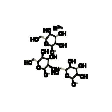 [Bi+3].[O-][C@H]1O[C@H](CO)[C@@H](O)[C@H](O)[C@H]1O.[O-][C@H]1O[C@H](CO)[C@@H](O)[C@H](O)[C@H]1O.[O-][C@H]1O[C@H](CO)[C@@H](O)[C@H](O)[C@H]1O